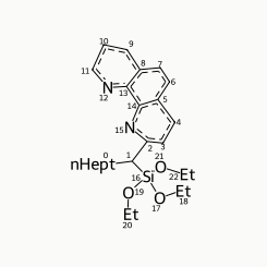 CCCCCCCC(c1ccc2ccc3cccnc3c2n1)[Si](OCC)(OCC)OCC